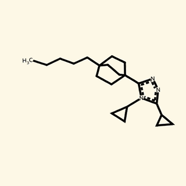 CCCCCC12CCC(c3nnc(C4CC4)n3C3CC3)(CC1)CC2